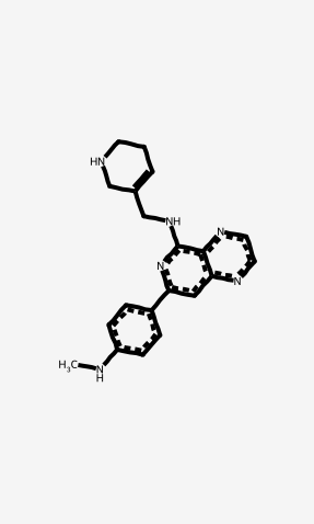 CNc1ccc(-c2cc3nccnc3c(NCC3=CCCNC3)n2)cc1